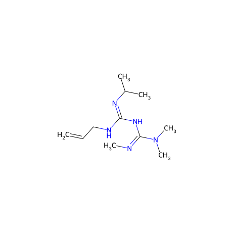 C=CCN/C(=N/C(C)C)N/C(=N\C)N(C)C